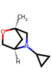 C[C@]12C[C@H](CO1)N(C1CC1)C2